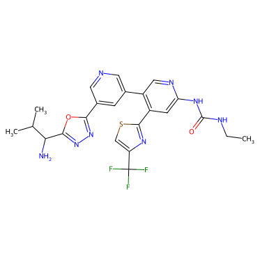 CCNC(=O)Nc1cc(-c2nc(C(F)(F)F)cs2)c(-c2cncc(-c3nnc(C(N)C(C)C)o3)c2)cn1